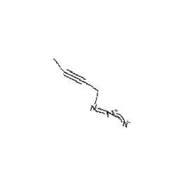 CC#CCN=[N+]=[N-]